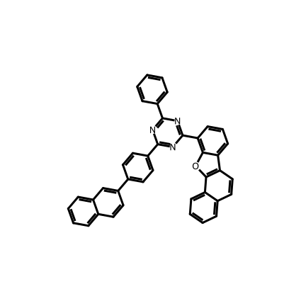 c1ccc(-c2nc(-c3ccc(-c4ccc5ccccc5c4)cc3)nc(-c3cccc4c3oc3c5ccccc5ccc43)n2)cc1